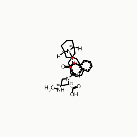 CN[C@@H]1CN(c2nc3ccccc3n([C@H]3C[C@H]4CCC[C@@H](C3)N4C3CC4CCCCC(C4)C3)c2=O)[C@@H]1C(=O)O